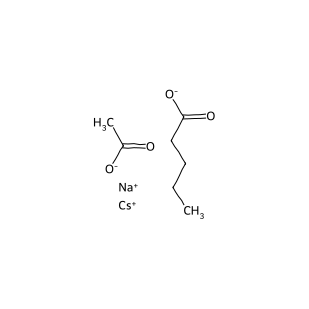 CC(=O)[O-].CCCCC(=O)[O-].[Cs+].[Na+]